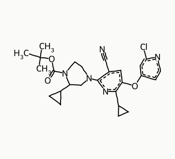 CC(C)(C)OC(=O)N1CCN(c2nc(C3CC3)c(Oc3ccnc(Cl)c3)cc2C#N)CC1C1CC1